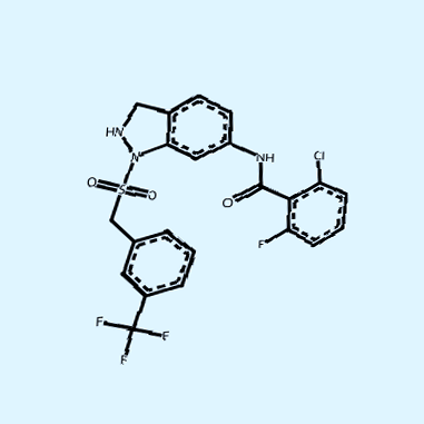 O=C(Nc1ccc2c(c1)N(S(=O)(=O)Cc1cccc(C(F)(F)F)c1)NC2)c1c(F)cccc1Cl